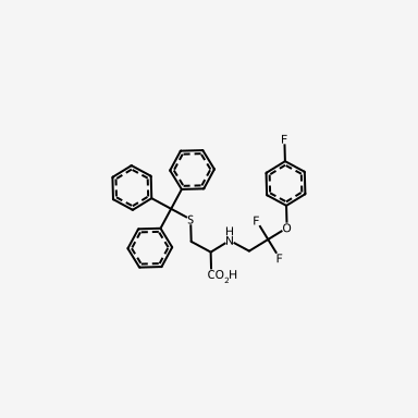 O=C(O)C(CSC(c1ccccc1)(c1ccccc1)c1ccccc1)NCC(F)(F)Oc1ccc(F)cc1